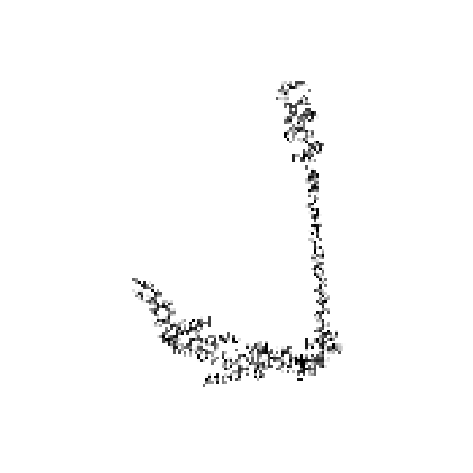 COc1cc2c(cc1OCCCOc1cc3c(cc1OC)C(O)N1C=C(c4ccc(N5CCN(C)CC5)cc4)C[C@H]1C=N3)N=C[C@@H]1CC(c3ccc(NC(=O)[C@H](C)NC(=O)[C@@H](NC(=O)CCOCCOCCOCCOCCOCCOCCOCCOCCNC(=O)CCN4C(=O)CC(C5CCCCCCCC5)C4=O)C(C)C)cc3)=CN1C2=O